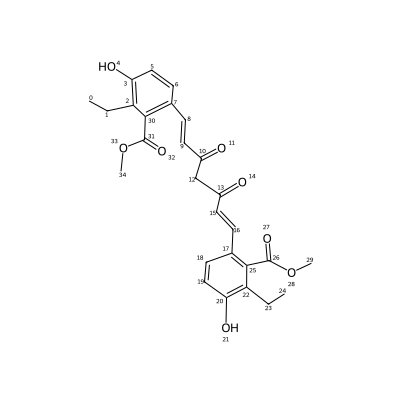 CCc1c(O)ccc(C=CC(=O)CC(=O)C=Cc2ccc(O)c(CC)c2C(=O)OC)c1C(=O)OC